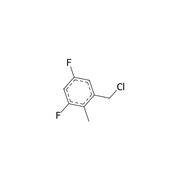 Cc1c(F)cc(F)cc1CCl